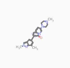 Cc1cc(C2=C\C(=O)N3C=C(N4CCN(C)CC4)C=C\C3=C/C=C/2)cc2cn(C)nc12